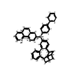 c1ccc(-c2ccc(N(c3ccc4c(c3)-c3ccccc3C3CC5CC6CC4C563)c3cnc4c(ccc5cccnc54)c3)cc2)cc1